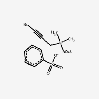 CCCCCCCC[N+](C)(C)CC#CBr.O=S(=O)([O-])c1ccccc1